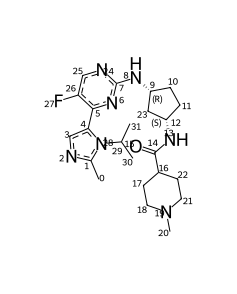 Cc1ncc(-c2nc(N[C@@H]3CC[C@H](NC(=O)C4CCN(C)CC4)C3)ncc2F)n1C(C)C